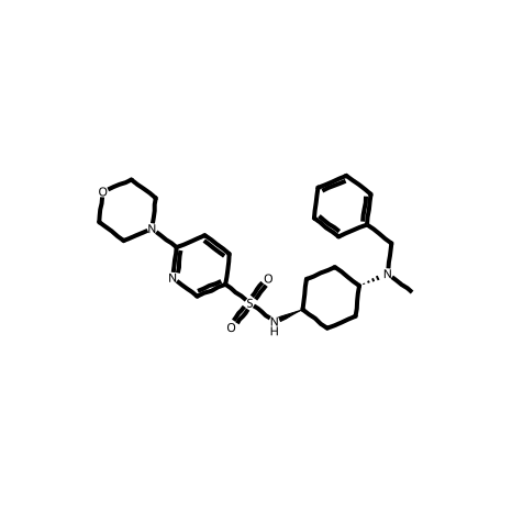 CN(Cc1ccccc1)[C@H]1CC[C@H](NS(=O)(=O)c2ccc(N3CCOCC3)nc2)CC1